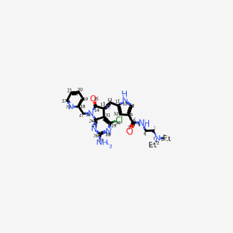 CCN(CC)CCNC(=O)c1c[nH]c(/C=C2/C(=O)N(Cc3ccccn3)c3nc(N)nc(Cl)c32)c1